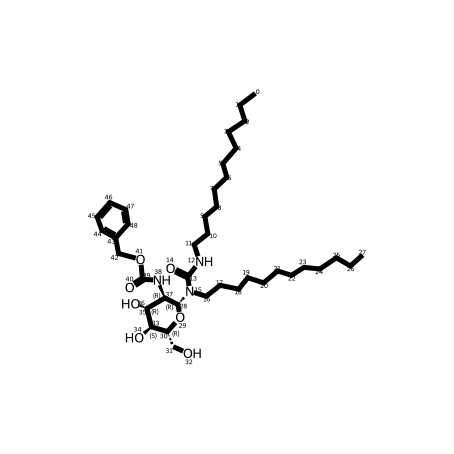 CCCCCCCCCCCCNC(=O)N(CCCCCCCCCCCC)[C@@H]1O[C@H](CO)[C@@H](O)[C@H](O)[C@H]1NC(=O)OCc1ccccc1